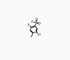 O=S(=O)(F)c1cc(Cl)c(F)cc1F